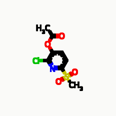 CC(=O)Oc1ccc(S(C)(=O)=O)nc1Cl